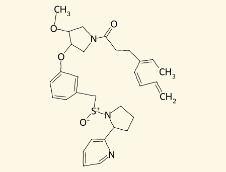 C=C/C=C\C(=C/C)CCC(=O)N1CC(OC)C(Oc2cccc(C[S+]([O-])N3CCCC3c3ccccn3)c2)C1